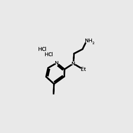 CCN(CCN)c1cc(C)ccn1.Cl.Cl